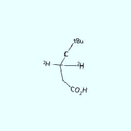 [2H]C([2H])(CC(=O)O)CC(C)(C)C